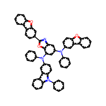 c1ccc(N(c2cc(N(c3ccccc3)c3ccc4c(c3)c3ccccc3n4-c3ccccc3)c3oc(-c4ccc5c(c4)oc4ccccc45)nc3c2)c2ccc3oc4ccccc4c3c2)cc1